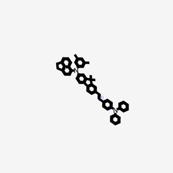 Cc1cc(C)cc(N(c2ccc3c(c2)C(C)(C)c2cc(/C=C/c4ccc(N(c5ccccc5)c5ccccc5)cc4)ccc2-3)c2ccc3c4c(cccc24)CC3)c1